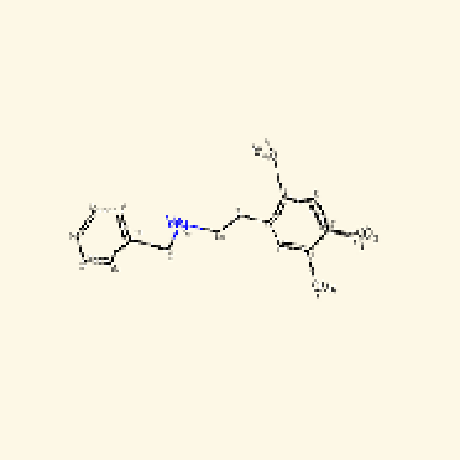 COc1cc([N+](=O)[O-])c(OC)cc1CCNCc1ccccc1